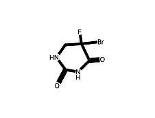 O=C1NCC(F)(Br)C(=O)N1